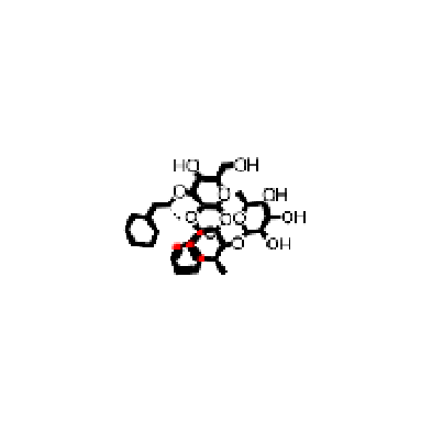 CC1CC(C)C(OC2OC(C)C(O)C(O)C2O)C(OC2OC(CO)C(O)C(O[C@H](C)CC3CCCCC3)C2OC(=O)c2ccccc2)C1